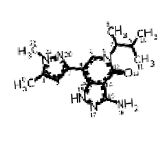 Cc1cc(-c2cn(C(C)C(C)C)c(=O)c3c(N)n[nH]c23)nn1C